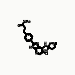 CC[C@]1(Nc2c(Cl)cnc3[nH]c(-c4ccc(CCC(=O)NC)cc4)nc23)CCNC1